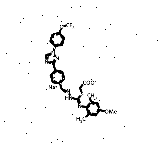 COc1cc(C)c(/N=C(/NN=Cc2ccc(-c3ncn(-c4ccc(OC(F)(F)F)cc4)n3)cc2)SCC(=O)[O-])c(C)c1.[Na+]